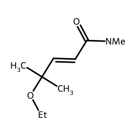 CCOC(C)(C)C=CC(=O)NC